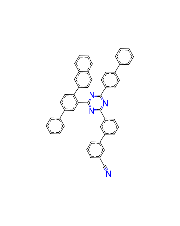 N#Cc1cccc(-c2cccc(-c3nc(-c4ccc(-c5ccccc5)cc4)nc(-c4cc(-c5ccccc5)ccc4-c4ccc5ccccc5c4)n3)c2)c1